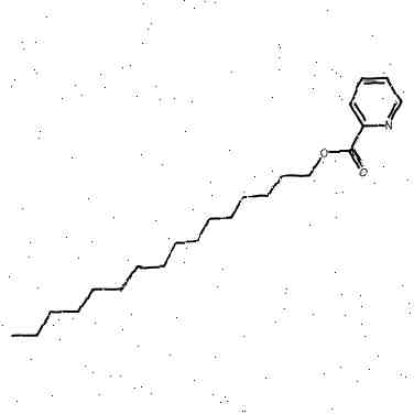 CCCCCCCCCCCCCCCCOC(=O)c1ccccn1